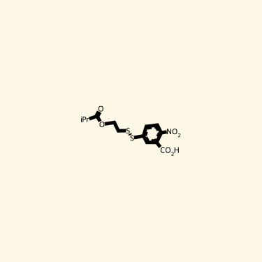 CC(C)C(=O)OCCSSc1ccc([N+](=O)[O-])c(C(=O)O)c1